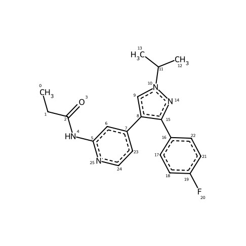 CCC(=O)Nc1cc(-c2cn(C(C)C)nc2-c2ccc(F)cc2)ccn1